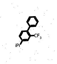 CC(C)c1ccc(-c2ccccc2)c(C(F)(F)F)c1